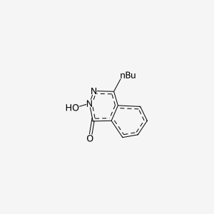 CCCCc1nn(O)c(=O)c2ccccc12